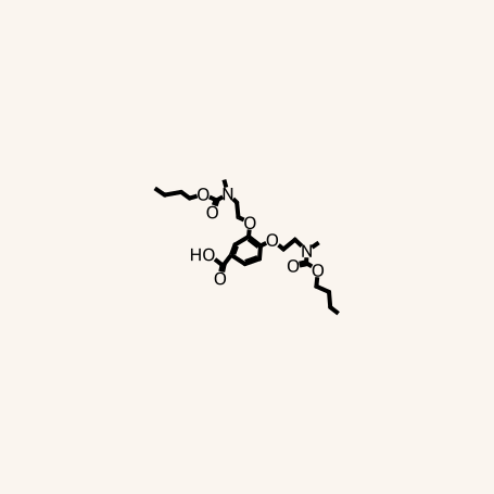 CCCCOC(=O)N(C)CCOc1ccc(C(=O)O)cc1OCCN(C)C(=O)OCCCC